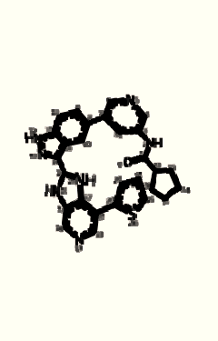 O=C(Nc1cncc(-c2ccc3[nH]nc(C4Nc5cncc(-c6cccs6)c5N4)c3c2)c1)C1CCCC1